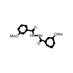 COc1cccc(C(=O)NNC(=O)c2cccc(OC)c2)c1